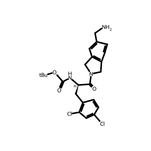 CC(C)(C)OC(=O)N[C@H](Cc1ccc(Cl)cc1Cl)C(=O)N1Cc2ccc(CN)cc2C1